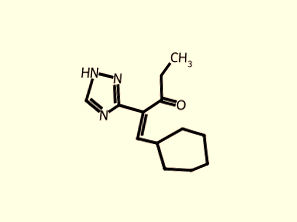 CCC(=O)C(=CC1CCCCC1)c1nc[nH]n1